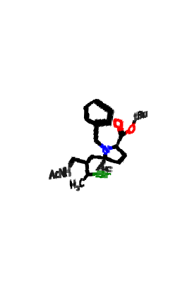 CC(=O)NCC(C[C@@]1(C(C)=O)CC[C@H](C(=O)OC(C)(C)C)N1Cc1ccccc1)C(C)Br